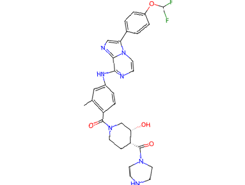 Cc1cc(Nc2nccn3c(-c4ccc(OC(F)F)cc4)cnc23)ccc1C(=O)N1CC[C@@H](C(=O)N2CCNCC2)[C@@H](O)C1